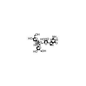 Nc1nc2c(ncn2[C@@H]2O[C@H](COP(=O)(O[C@]3(O)C[C@H](O)[C@@H](CO)O3)O[C@]3(O)C[C@H](O)[C@@H](CO)O3)[C@@H](O)[C@H]2O)c(=O)[nH]1